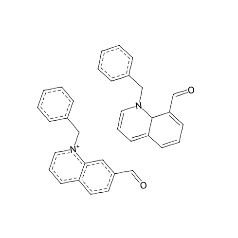 O=CC1=CC=CC2=CC=CN(Cc3ccccc3)C12.O=Cc1ccc2ccc[n+](Cc3ccccc3)c2c1